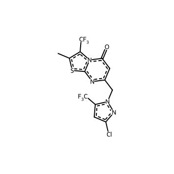 Cc1sc2nc(Cn3nc(Cl)cc3C(F)(F)F)cc(=O)n2c1C(F)(F)F